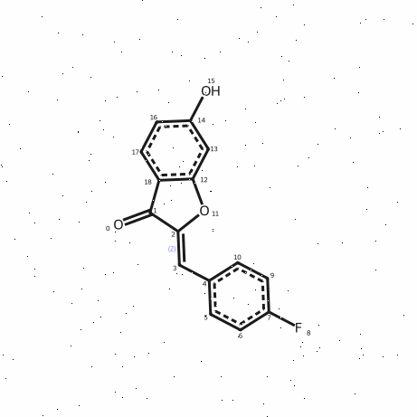 O=C1/C(=C/c2ccc(F)cc2)Oc2cc(O)ccc21